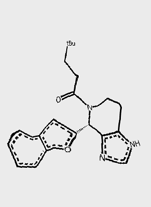 CC(C)(C)CCC(=O)N1CCc2[nH]cnc2[C@@H]1c1cc2ccccc2o1